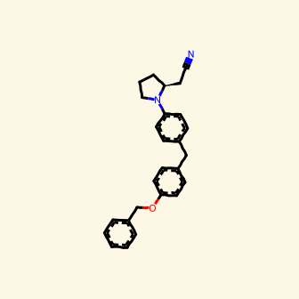 N#CC[C@@H]1CCCN1c1ccc(Cc2ccc(OCc3ccccc3)cc2)cc1